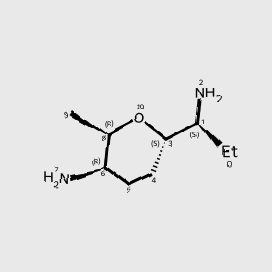 CC[C@H](N)[C@@H]1CC[C@@H](N)[C@@H](C)O1